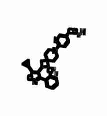 O=C(O)c1ccc(N2CCC3(CC2)CC(c2c(-c4ccccc4C(F)(F)F)noc2C2CC2)C3)nc1